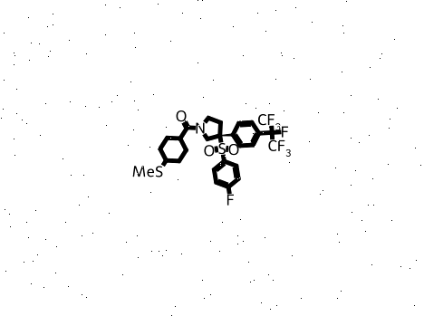 CSC1CCC(C(=O)N2CC[C@](c3ccc(C(F)(C(F)(F)F)C(F)(F)F)cc3)(S(=O)(=O)c3ccc(F)cc3)C2)CC1